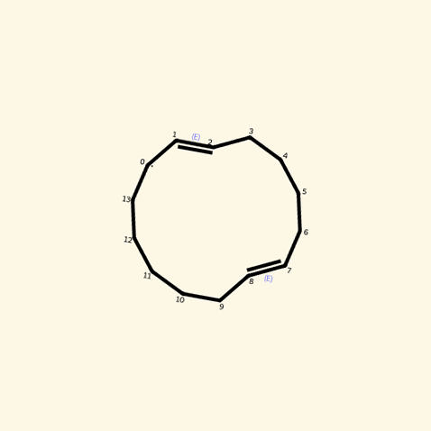 [CH]1/C=C/CCCC/C=C/CCCCC1